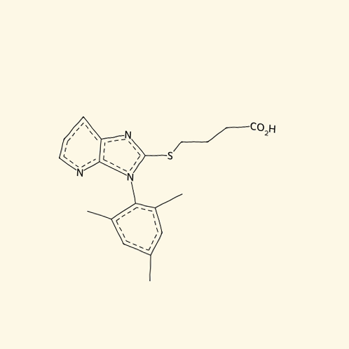 Cc1cc(C)c(-n2c(SCCCC(=O)O)nc3cccnc32)c(C)c1